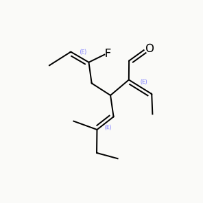 C/C=C(/F)CC(/C=C(\C)CC)/C(C=O)=C\C